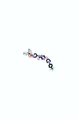 CC(C)(C)OC(=O)N1CCC(NC(=O)c2cnc(OC3CCN(c4ccc(C(F)(F)F)cc4)CC3)cn2)CC1